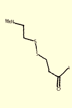 CNCCSSCCC(=O)I